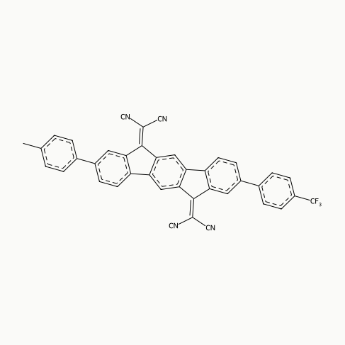 [C-]#[N+]/C(C#N)=C1/c2cc(-c3ccc(C(F)(F)F)cc3)ccc2-c2cc3c(cc21)-c1ccc(-c2ccc(C)cc2)cc1/C3=C(/C#N)[N+]#[C-]